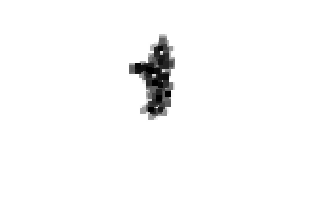 CN1CCC(Nc2c([N+](=O)[O-])cnc3c2ccn3S(=O)(=O)c2ccccc2)(C(=O)O)CC1